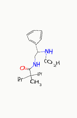 CC(C)C(C)(C(=O)NCC(NC(=O)O)c1ccccc1)C(C)C